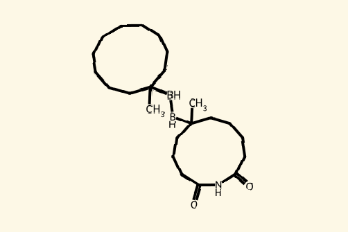 CC1(BBC2(C)CCCCC(=O)NC(=O)CCC2)CCCCCCCCCC1